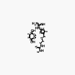 CNC(=S)NCCSCc1csc(NC(=N)N)n1.O=C(O)/C=C\C(=O)O